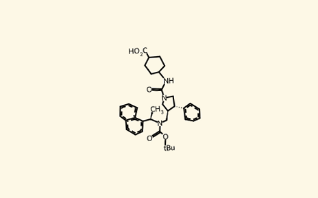 C[C@H](c1cccc2ccccc12)N(C[C@H]1CN(C(=O)NC2CCC(C(=O)O)CC2)C[C@@H]1c1ccccc1)C(=O)OC(C)(C)C